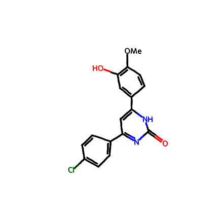 COc1ccc(-c2cc(-c3ccc(Cl)cc3)nc(=O)[nH]2)cc1O